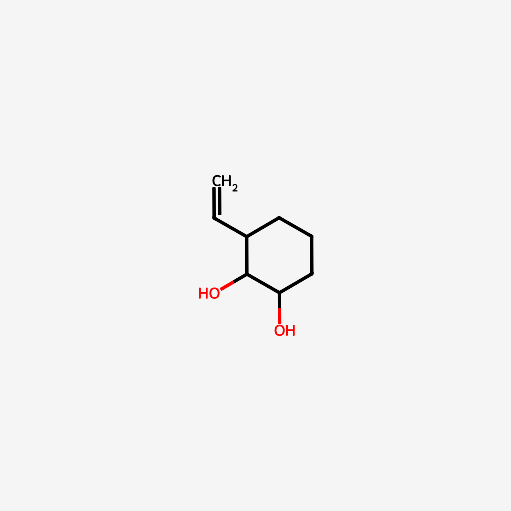 C=CC1CCCC(O)C1O